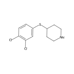 Clc1ccc(SC2CCNCC2)cc1Cl